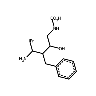 CC(C)C(N)C(Cc1ccccc1)C(O)CNC(=O)O